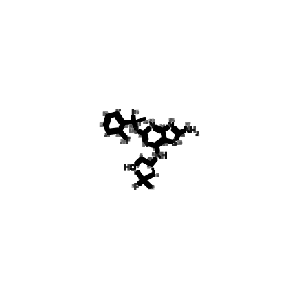 CC(C)(F)C[C@H](CO)Nc1nc(S[C@@](C)(I)c2ccccc2F)nc2nc(N)sc12